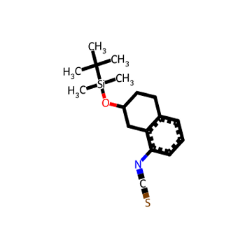 CC(C)(C)[Si](C)(C)OC1CCc2cccc(N=C=S)c2C1